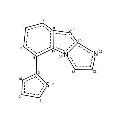 c1csc(-c2cccc3sc4nccn4c23)c1